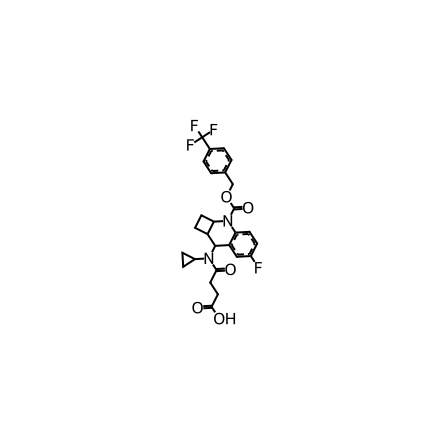 O=C(O)CCC(=O)N(C1CC1)C1c2cc(F)ccc2N(C(=O)OCc2ccc(C(F)(F)F)cc2)C2CCC21